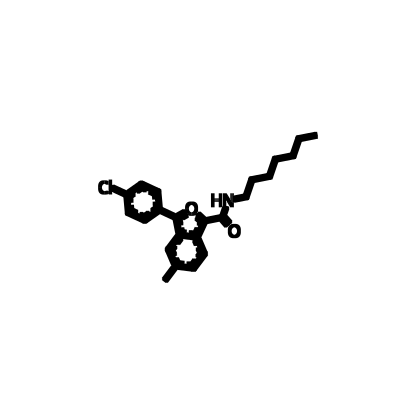 CCCCCCCNC(=O)c1oc(-c2ccc(Cl)cc2)c2cc(C)ccc12